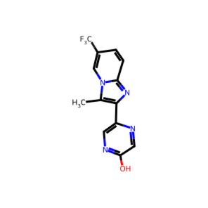 Cc1c(-c2cnc(O)cn2)nc2ccc(C(F)(F)F)cn12